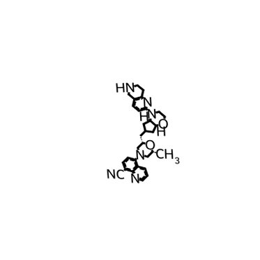 C[C@@H]1CN(c2ccc(C#N)c3ncccc23)C[C@H](CC2C[C@H]3OCCN(c4ccc5c(n4)CCNC5)[C@H]3C2)O1